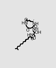 CC(C)CCCCC/C=C/C=C/C(=O)N[C@H](C=O)[C@H](O)CN[C@H]1CC(=O)CCNC(=O)/C=C/[C@H](C)NC1=O